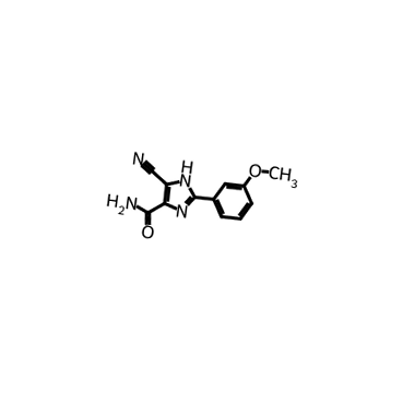 COc1cccc(-c2nc(C(N)=O)c(C#N)[nH]2)c1